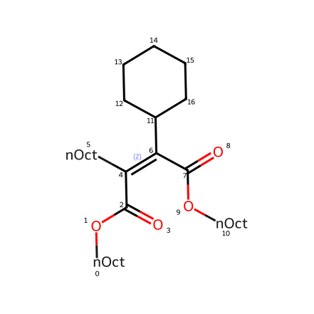 CCCCCCCCOC(=O)/C(CCCCCCCC)=C(\C(=O)OCCCCCCCC)C1CCCCC1